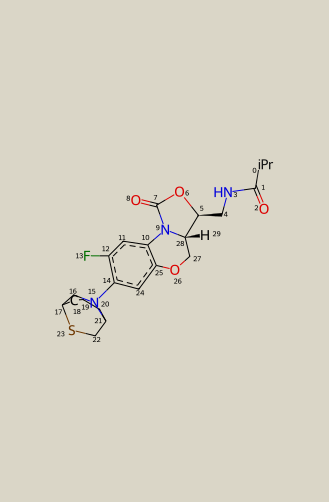 CC(C)C(=O)NC[C@@H]1OC(=O)N2c3cc(F)c(N4CC5CCCC4CS5)cc3OC[C@@H]12